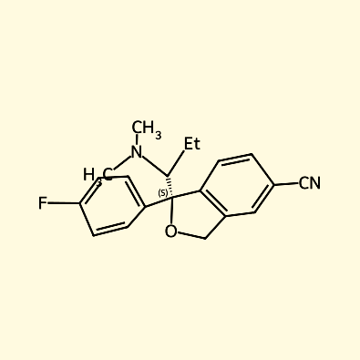 CCC(N(C)C)[C@@]1(c2ccc(F)cc2)OCc2cc(C#N)ccc21